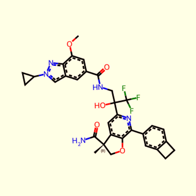 COc1cc(C(=O)NCC(O)(c2cc3c(c(-c4ccc5c(c4)CC5)n2)OC[C@]3(C)C(N)=O)C(F)(F)F)cc2cn(C3CC3)nc12